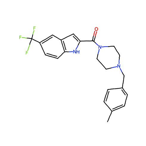 Cc1ccc(CN2CCN(C(=O)c3cc4cc(C(F)(F)F)ccc4[nH]3)CC2)cc1